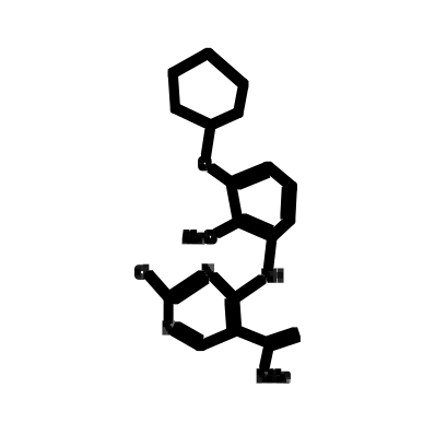 C=C(NC)c1cnc(Cl)nc1Nc1cccc(OC2CCCCC2)c1OC